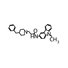 CCn1c2ccccc2c2cc(NC(=O)CCN3CCC(Cc4ccccc4)CC3)ccc21